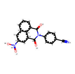 N#Cc1ccc(N2C(=O)c3cccc4cc([N+](=O)[O-])cc(c34)C2=O)cc1